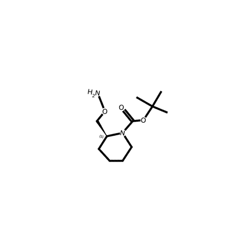 CC(C)(C)OC(=O)N1CCCC[C@H]1CON